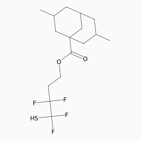 CC1CC2CC(C)CC(C(=O)OCCC(F)(F)C(F)(F)S)(C1)C2